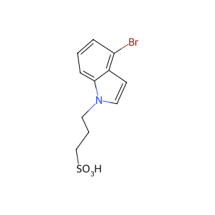 O=S(=O)(O)CCCn1ccc2c(Br)cccc21